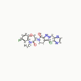 CN1C(=O)[C@@H](N2CCc3c(nn(Cc4cnccn4)c3Cl)C2=O)COc2ccc(F)cc21